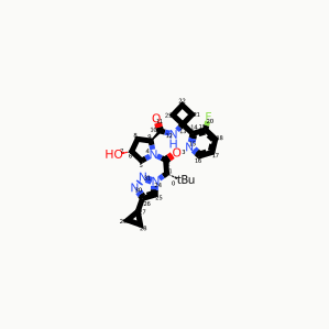 CC(C)(C)[C@@H](C(=O)N1C[C@H](O)C[C@H]1C(=O)NC1(c2ncccc2F)CCC1)n1cc(C2CC2)nn1